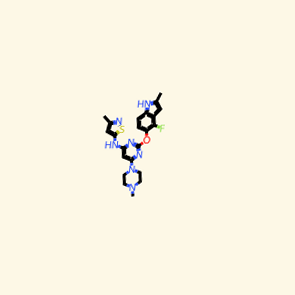 Cc1cc(Nc2cc(N3CCN(C)CC3)nc(Oc3ccc4[nH]c(C)cc4c3F)n2)sn1